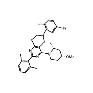 CO[C@@H]1CCN(c2nc(-c3c(C)cccc3C)nc3c2CN(c2cc(C(C)C)ccc2C)CC3)[C@H](C)C1